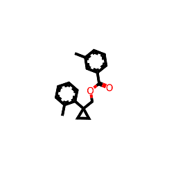 Cc1cccc(C(=O)OCC2(c3ccccc3C)CC2)c1